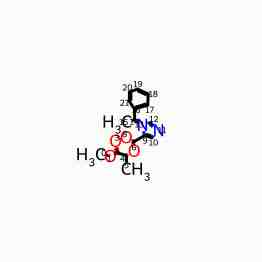 COC(=O)C(C)OC(=O)c1cncn1C(C)c1ccccc1